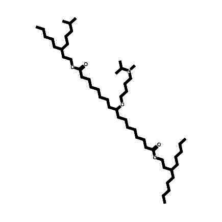 CCCCCC(CCCCC)CCOC(=O)CCCCCCCC(CCCCCCCC(=O)OCCC(CCCCC)CCCC(C)C)OCCCCN(C)C(C)C